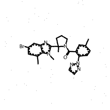 Cc1ccc(-n2nccn2)c(C(=O)N2CCCC2(C)c2nc3cc(Br)cc(C)c3n2C)c1